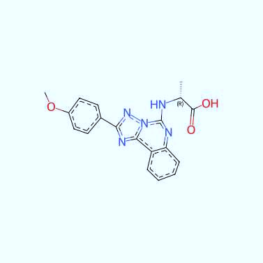 COc1ccc(-c2nc3c4ccccc4nc(N[C@H](C)C(=O)O)n3n2)cc1